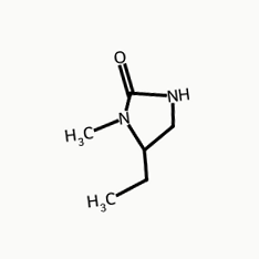 CCC1CNC(=O)N1C